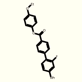 CCCc1ccc(-c2ccc(C(=O)Oc3ccc(OCC)cc3)cc2)c(F)c1